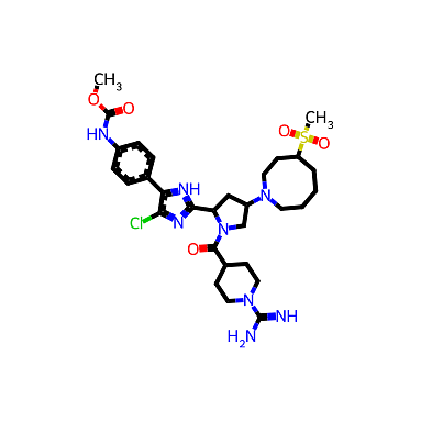 COC(=O)Nc1ccc(-c2[nH]c(C3CC(N4CCCCC(S(C)(=O)=O)CC4)CN3C(=O)C3CCN(C(=N)N)CC3)nc2Cl)cc1